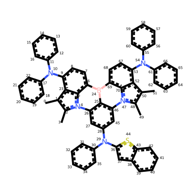 Cc1c(C)n2c3c(ccc(N(c4ccccc4)c4ccccc4)c13)B1c3c-2cc(N(c2ccccc2)c2cc4ccccc4s2)cc3-n2c(C)c(C)c3c(N(c4ccccc4)c4ccccc4)ccc1c32